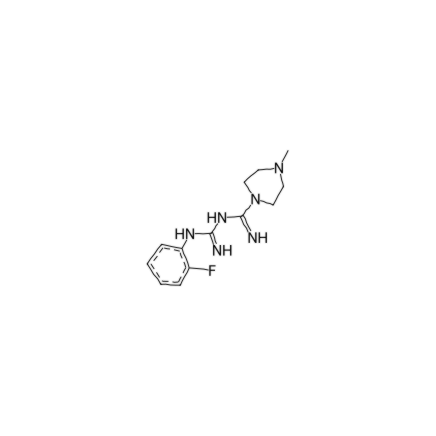 CN1CCN(C(=N)NC(=N)Nc2ccccc2F)CC1